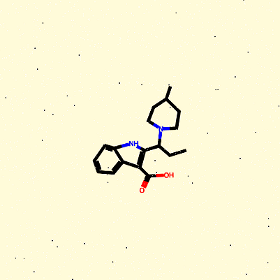 CCC(c1[nH]c2ccccc2c1C(=O)O)N1CCC(C)CC1